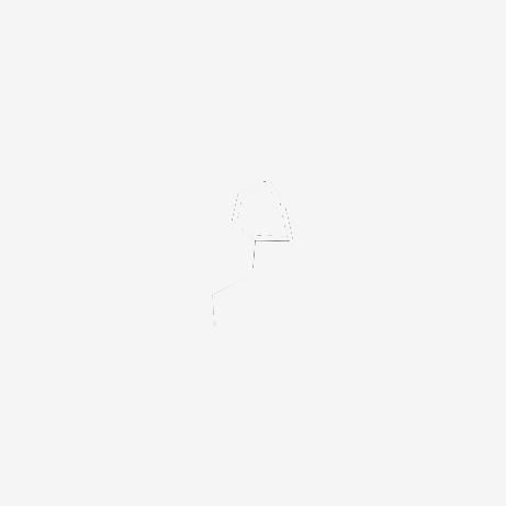 [CH2]C(C)CSc1cccnc1